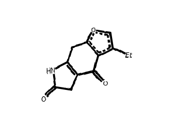 CCc1coc2c1C(=O)C1=C(C2)NC(=O)C1